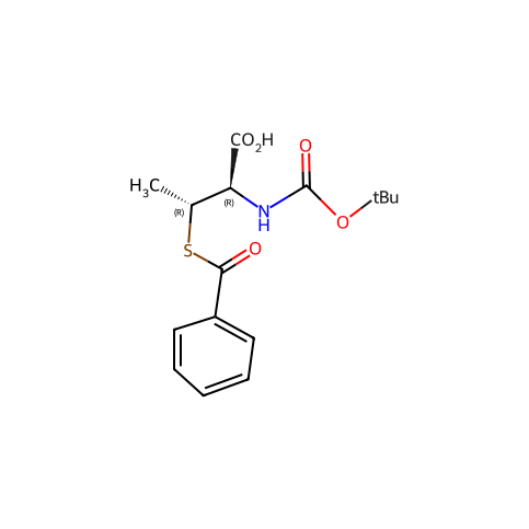 C[C@@H](SC(=O)c1ccccc1)[C@H](NC(=O)OC(C)(C)C)C(=O)O